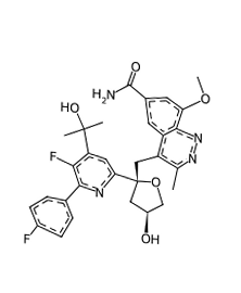 COc1cc(C(N)=O)cc2c(C[C@]3(c4cc(C(C)(C)O)c(F)c(-c5ccc(F)cc5)n4)C[C@H](O)CO3)c(C)nnc12